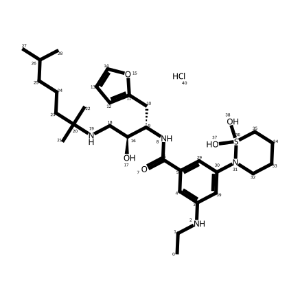 CCNc1cc(C(=O)N[C@@H](Cc2ccco2)[C@@H](O)CNC(C)(C)CCCC(C)C)cc(N2CCCCS2(O)O)c1.Cl